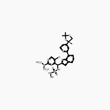 CC(C)(C)NS(=O)(=O)NC(c1cc2cccc(-c3cc([C@@]4(C)COC(C)(C)O4)ccn3)c2s1)c1nc(N(C(=O)O)C(=O)O)ncc1Cl